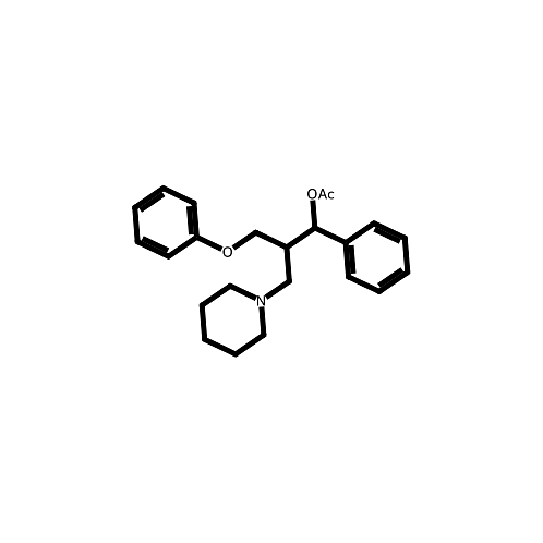 CC(=O)OC(c1ccccc1)C(COc1ccccc1)CN1CCCCC1